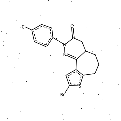 O=C1CC2CCCc3sc(Br)cc3C2=NN1c1ccc(Cl)cc1